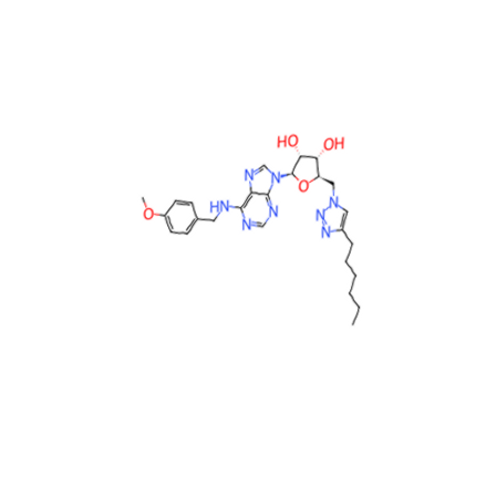 CCCCCCc1cn(C[C@H]2O[C@@H](n3cnc4c(NCc5ccc(OC)cc5)ncnc43)[C@H](O)[C@@H]2O)nn1